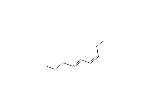 CC/C=C\C=C\CCC